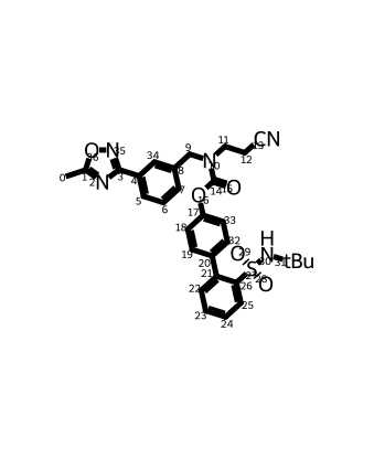 Cc1nc(-c2cccc(CN(CCC#N)C(=O)Oc3ccc(-c4ccccc4S(=O)(=O)NC(C)(C)C)cc3)c2)no1